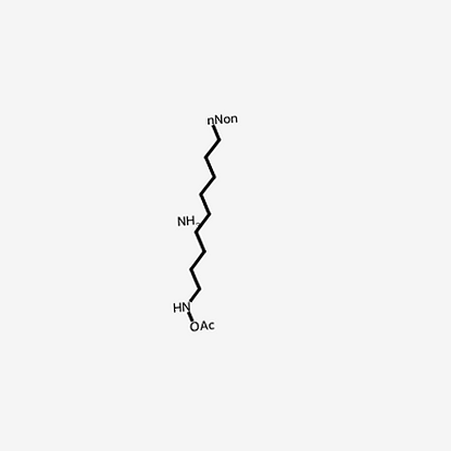 CCCCCCCCCCCCCCCCCCNOC(C)=O.N